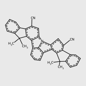 CC1(C)c2ccccc2-c2c(C#N)cc3c(c21)c1cccc2c4c5c(c(C#N)cc4n3c12)-c1ccccc1C5(C)C